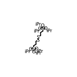 CC(C)O[Si](CCCSSCCC[Si](OC(C)C)(OC(C)C)OC(C)C)(OC(C)C)OC(C)C